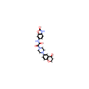 O=C(Nc1ccc2[nH]c(=O)oc2c1)C(=O)N1CCN(c2ccc3c(c2)C(=O)CCO3)CC1